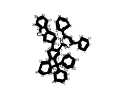 c1ccc(-c2cc(-c3ccccc3)nc(-c3cc4c(cc3-c3ccc5c(c3)oc3ccccc35)-c3ccccc3C4(c3ccccc3)c3ccccc3)n2)cc1